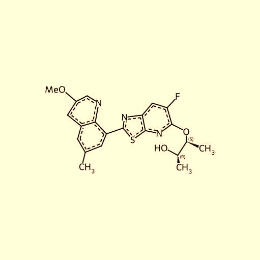 COc1cnc2c(-c3nc4cc(F)c(O[C@@H](C)[C@@H](C)O)nc4s3)cc(C)cc2c1